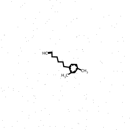 [CH]=CCCCCCc1ccc(C)cc1C